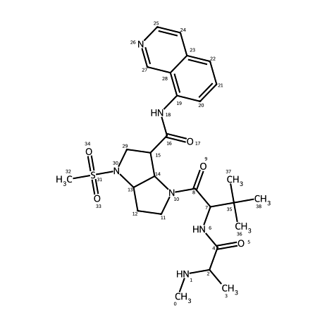 CNC(C)C(=O)NC(C(=O)N1CCC2C1C(C(=O)Nc1cccc3ccncc13)CN2S(C)(=O)=O)C(C)(C)C